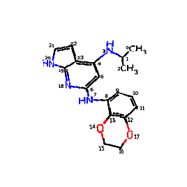 CC(C)Nc1cc(Nc2cc[c]c3c2OCCO3)nc2[nH]ccc12